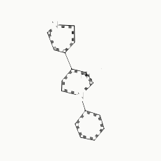 Cl.[Cl-].c1ccc(-[n+]2ccc(-c3ccncc3)cc2)cc1